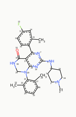 CCN1CCC(Nc2nc(-c3ccc(F)cc3C)c3c(n2)N(c2c(C)cccc2C)CNC3=O)CC1